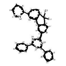 FC1(F)c2ccc(-c3cccnn3)cc2-c2cc(-c3nc(-c4ccccc4)nc(-c4ccccc4)n3)ccc21